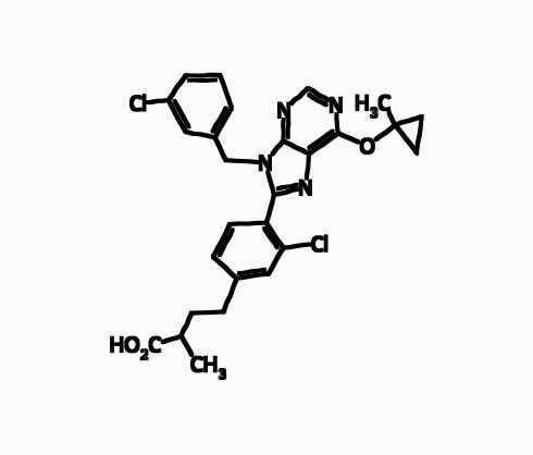 CC(CCc1ccc(-c2nc3c(OC4(C)CC4)ncnc3n2Cc2cccc(Cl)c2)c(Cl)c1)C(=O)O